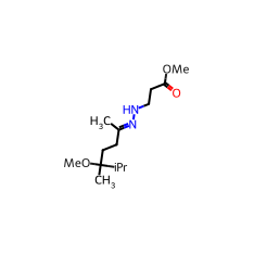 COC(=O)CCN/N=C(\C)CCC(C)(OC)C(C)C